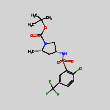 C[C@H]1C[C@@H](NS(=O)(=O)c2cc(C(F)(F)F)ccc2Cl)CN1C(=O)OC(C)(C)C